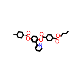 CCCCOC(=O)C1CCC(C(=O)Oc2ccc(OC(=O)[C@H]3CC[C@H](C)CC3)cc2-c2ccccn2)CC1